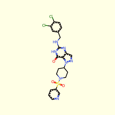 O=c1[nH]c(NCc2ccc(Cl)c(Cl)c2)nc2cnn(C3CCN(S(=O)(=O)c4cccnc4)CC3)c12